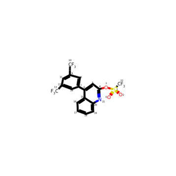 O=S(=O)(Oc1cc(-c2cc(C(F)(F)F)cc(C(F)(F)F)c2)c2ccccc2n1)C(F)(F)F